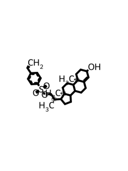 C=Cc1ccc(S(=O)(=O)OC[C@@H](C)C2CCC3C4CCC5=CC(O)CC[C@]5(C)C4CC[C@@]32C)cc1